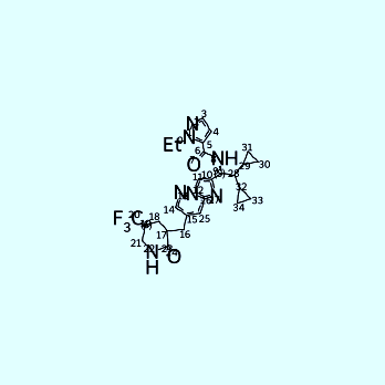 CCn1nccc1C(=O)N[C@H](c1cn2ncc(CC3C[C@H](C(F)(F)F)CNC3=O)cc2n1)C(C1CC1)C1CC1